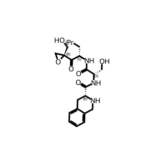 CC(C)C[C@H](NC(=O)[C@H](CO)NC(=O)[C@H]1Cc2ccccc2CN1)C(=O)[C@@]1(CO)CO1